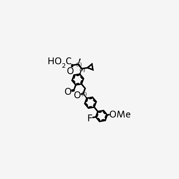 COc1ccc(F)c(-c2ccc([C@@H]3Cc4cc([C@H](C5CC5)[C@H](C)C(=O)C(=O)O)ccc4C(=O)O3)cc2)c1